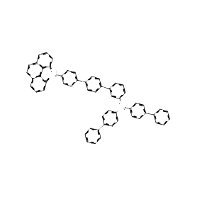 c1ccc(-c2ccc(N(c3ccc(-c4ccccc4)cc3)c3cccc(-c4ccc(-c5ccc(-n6c7cccc8ccc9cccc6c9c87)cc5)cc4)c3)cc2)cc1